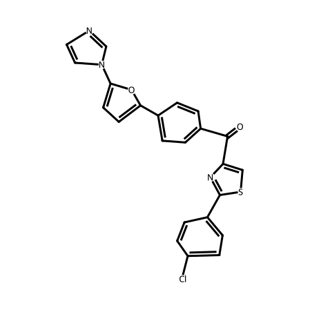 O=C(c1ccc(-c2ccc(-n3ccnc3)o2)cc1)c1csc(-c2ccc(Cl)cc2)n1